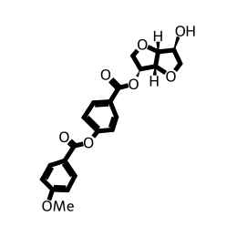 COc1ccc(C(=O)Oc2ccc(C(=O)O[C@@H]3CO[C@H]4[C@@H]3OC[C@@H]4O)cc2)cc1